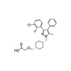 Cc1c(-c2ccccc2)c(-c2cccc(Cl)c2F)nn1C[C@H]1CC[C@@H](COCC(=O)O)CC1